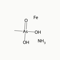 C[As](=O)(O)O.N.[Fe]